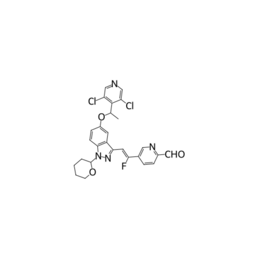 CC(Oc1ccc2c(c1)c(/C=C(\F)c1ccc(C=O)nc1)nn2C1CCCCO1)c1c(Cl)cncc1Cl